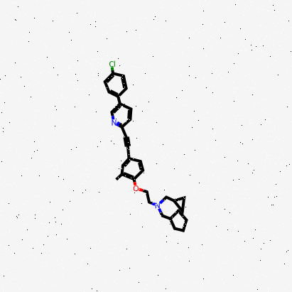 Cc1cc(C#Cc2ccc(-c3ccc(Cl)cc3)cn2)ccc1OCCN(CC1CCCC1)CC1CC1